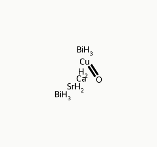 [BiH3].[BiH3].[CaH2].[O]=[Cu].[SrH2]